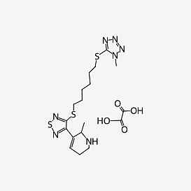 CC1NCCC=C1c1nsnc1SCCCCCCSc1nnnn1C.O=C(O)C(=O)O